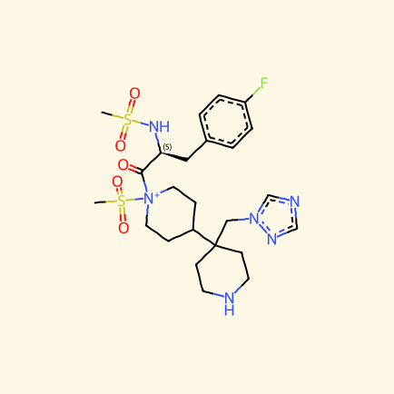 CS(=O)(=O)N[C@@H](Cc1ccc(F)cc1)C(=O)[N+]1(S(C)(=O)=O)CCC(C2(Cn3cncn3)CCNCC2)CC1